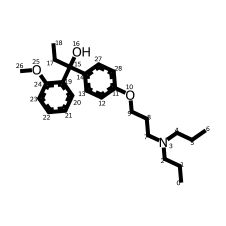 CCCN(CCC)CCCOc1ccc(C(O)(CC)c2ccccc2OC)cc1